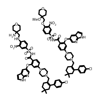 CC1(C)CCC(CN2CCN(c3ccc(C(=O)NS(=O)(=O)c4ccc(NCC5(N)CCOCC5)c([N+](=O)[O-])c4)c(Oc4cnc5[nH]ccc5c4)c3)CC2)=C(c2ccc(Cl)cc2)C1.COC1(COc2ccc(S(=O)(=O)NC(=O)c3ccc(N4CCN(CC5=C(c6ccc(Cl)cc6)CC(C)(C)CC5)CC4)cc3Oc3cnc4[nH]ccc4c3)cc2[N+](=O)[O-])CCOCC1